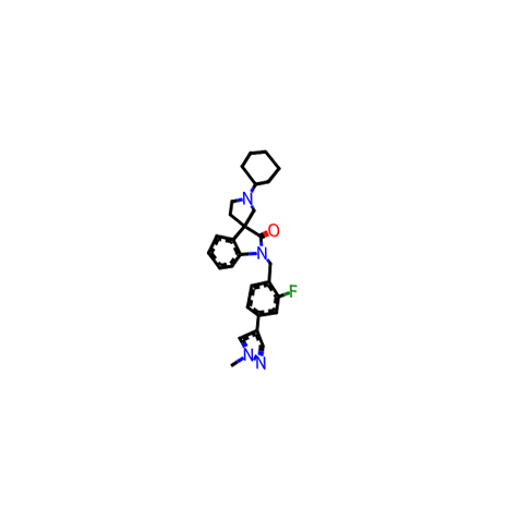 Cn1cc(-c2ccc(CN3C(=O)C4(CCN(C5CCCCC5)C4)c4ccccc43)c(F)c2)cn1